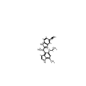 CCOc1cc(C)c2[nH]ccc2c1C(O)c1nc2cc(C#N)ccc2[nH]1